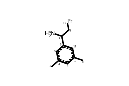 Cc1cc(C)cc(C(N)CC(C)C)c1